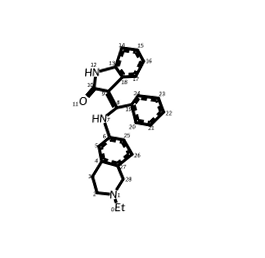 CCN1CCc2cc(N/C(=C3\C(=O)Nc4ccccc43)c3ccccc3)ccc2C1